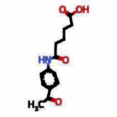 CC(=O)c1ccc(NC(=O)CCCCC(=O)O)cc1